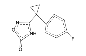 O=c1[nH]c(C2(c3ccc(F)cc3)CC2)no1